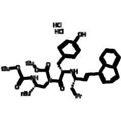 CCCC[C@@H](CN(C(=O)OC(C)(C)C)C(=O)[C@H](Cc1ccc(O)cc1)N[C@H](/C=C/c1cccc2ccccc12)CC(C)C)NC(=O)OC(C)(C)C.Cl.Cl